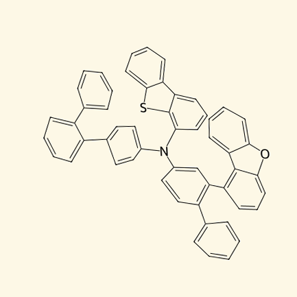 c1ccc(-c2ccccc2-c2ccc(N(c3ccc(-c4ccccc4)c(-c4cccc5oc6ccccc6c45)c3)c3cccc4c3sc3ccccc34)cc2)cc1